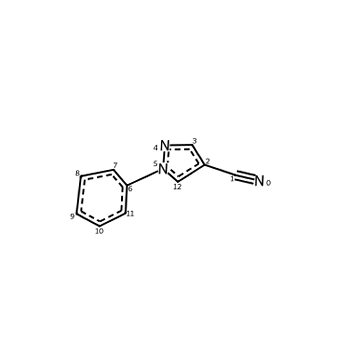 N#Cc1cnn(-c2ccccc2)c1